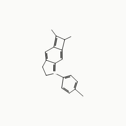 CC1=c2cc3c(cc2C1C)=[N+](c1ccc(C)cc1)CC3